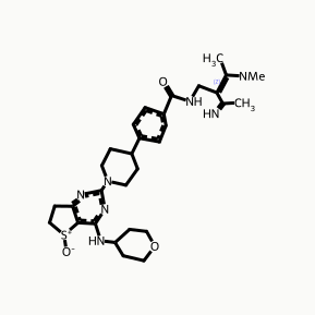 CN/C(C)=C(/CNC(=O)c1ccc(C2CCN(c3nc4c(c(NC5CCOCC5)n3)[S+]([O-])CC4)CC2)cc1)C(C)=N